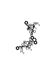 CC(C)C[C@H](NNC1c2ccccc2CCc2cc(OCC(=O)C(=O)[C@H](CCCCN)NC(C)C(=O)[C@@H](N)Cc3ccccc3)ccc21)C(=O)CC(=O)[C@H](C)NCC(=O)[C@@H](N)Cc1ccccc1